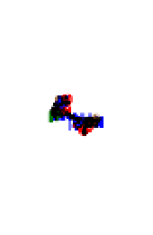 Cc1ncsc1-c1ccc(C(CC(=O)NCCCCNC(=O)COc2c(-c3csc(N4CCOCC4)n3)ccc(F)c2F)NC(=O)OC(C)(C)C)cc1